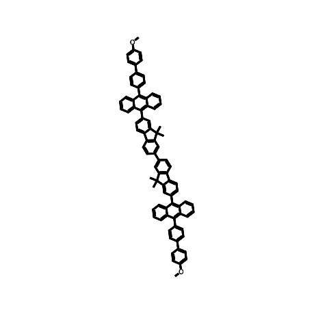 COc1ccc(-c2ccc(-c3c4ccccc4c(-c4ccc5c(c4)C(C)(C)c4cc(-c6ccc7c(c6)C(C)(C)c6cc(-c8c9ccccc9c(-c9ccc(-c%10ccc(OC)cc%10)cc9)c9ccccc89)ccc6-7)ccc4-5)c4ccccc34)cc2)cc1